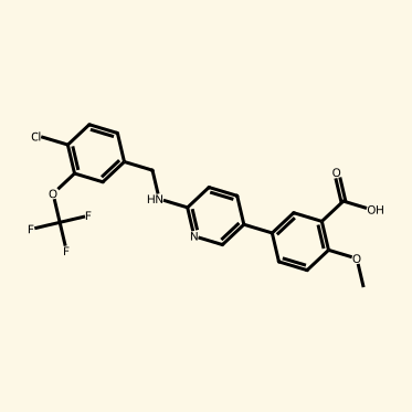 COc1ccc(-c2ccc(NCc3ccc(Cl)c(OC(F)(F)F)c3)nc2)cc1C(=O)O